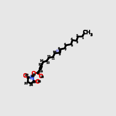 CCCCCCCC/C=C/CCCCCC#CC(=O)ON1C(=O)CCC1=O